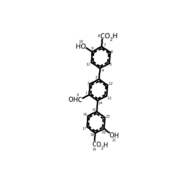 O=Cc1cc(-c2ccc(C(=O)O)c(O)c2)ccc1-c1ccc(C(=O)O)c(O)c1